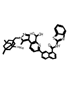 COC12CC3(C)CC(C)(CC(Cn4ncc(-c5ccc(-c6ccc7cccc(C(=O)Nc8nc9ccccc9s8)c7c6)nc5C(O)O)c4C)(C3)C1)C2